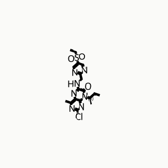 CC[C@@H](C)n1c(=O)c(NCc2ncc(S(=O)(=O)CC)cn2)nc2c(C)nc(Cl)nc21